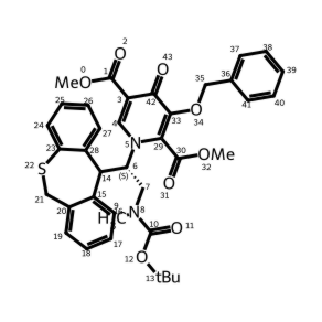 COC(=O)c1cn([C@H](CN(C)C(=O)OC(C)(C)C)C2c3ccccc3CSc3ccccc32)c(C(=O)OC)c(OCc2ccccc2)c1=O